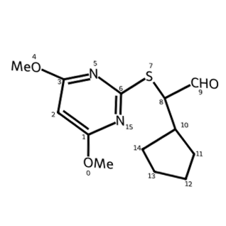 COc1cc(OC)nc(SC(C=O)C2CCCC2)n1